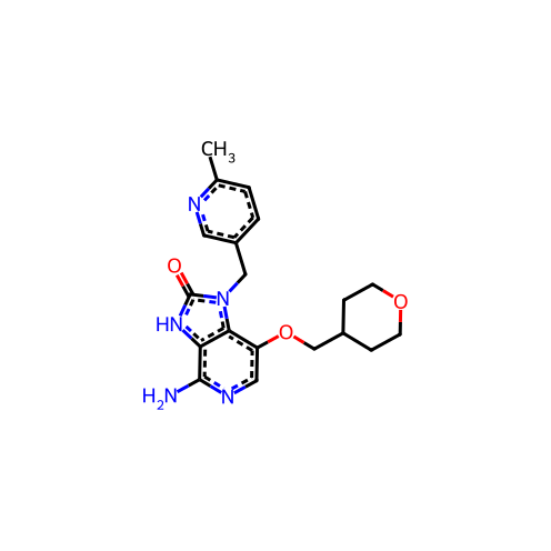 Cc1ccc(Cn2c(=O)[nH]c3c(N)ncc(OCC4CCOCC4)c32)cn1